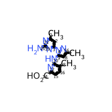 Cc1cc(-n2nc(C)cc2Nc2nc(C(=O)O)ccc2C)nc(N)n1